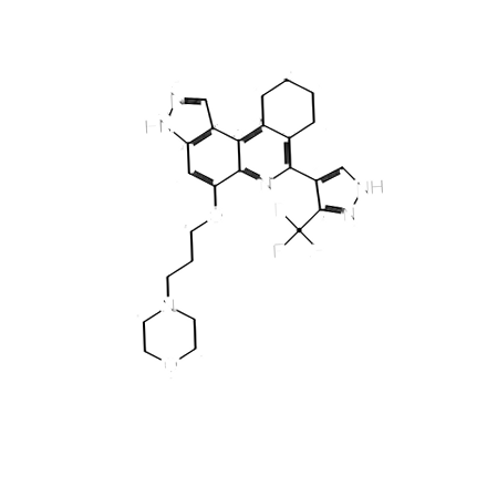 FC(F)(F)c1n[nH]cc1-c1nc2c(OCCCN3CCOCC3)cc3[nH]ncc3c2c2c1CCCC2